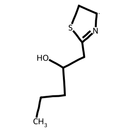 CCCC(O)CC1=N[CH]CS1